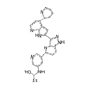 CCC(O)Nc1cncc(-c2ccc3[nH]nc(-c4cc5c(-c6ccccn6)ccnc5[nH]4)c3n2)c1